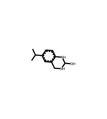 CC(C)c1ccc2c(c1)CNC(O)N2